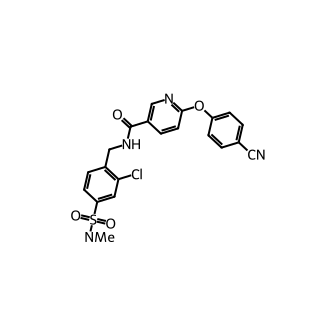 CNS(=O)(=O)c1ccc(CNC(=O)c2ccc(Oc3ccc(C#N)cc3)nc2)c(Cl)c1